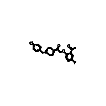 CC(=O)c1cc(F)ccc1OCC(=O)N1CCN(Cc2ccc(Cl)cc2)CC1